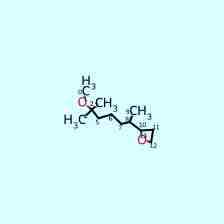 COC(C)(C)CCCC(C)C1CCO1